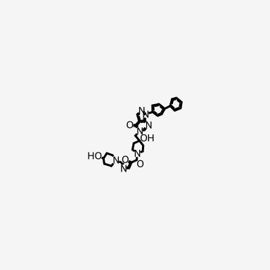 O=C(c1cnc(N2CCC(O)CC2)o1)N1CCC(O)(Cn2cnc3c(cnn3-c3ccc(-c4ccccc4)cc3)c2=O)CC1